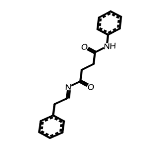 O=C(CCC(=O)Nc1ccccc1)/N=C/Cc1ccccc1